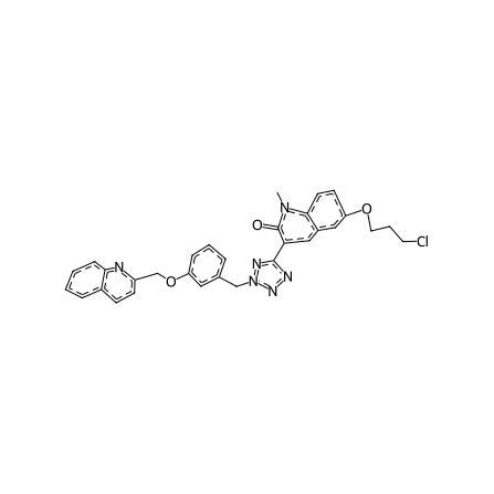 Cn1c(=O)c(-c2nnn(Cc3cccc(OCc4ccc5ccccc5n4)c3)n2)cc2cc(OCCCCl)ccc21